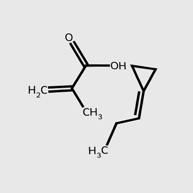 C=C(C)C(=O)O.CCC=C1CC1